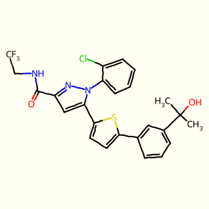 CC(C)(O)c1cccc(-c2ccc(-c3cc(C(=O)NCC(F)(F)F)nn3-c3ccccc3Cl)s2)c1